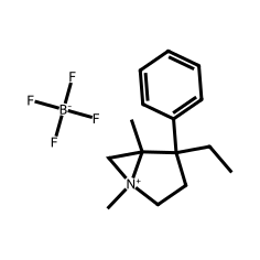 CCC1(c2ccccc2)CC[N+]2(C)CC12C.F[B-](F)(F)F